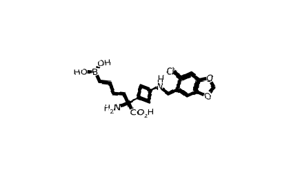 NC(CCCCB(O)O)(C(=O)O)[C@H]1C[C@@H](NCc2cc3c(cc2Cl)OCO3)C1